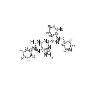 Nc1nc(-c2nn(Cc3ccncc3)c3c(F)cccc23)nc(N)c1N=Nc1ccccc1